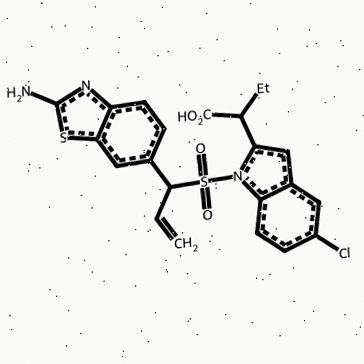 C=CC(c1ccc2nc(N)sc2c1)S(=O)(=O)n1c(C(CC)C(=O)O)cc2cc(Cl)ccc21